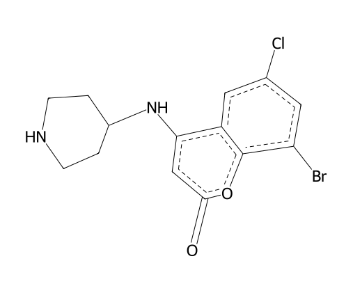 O=c1cc(NC2CCNCC2)c2cc(Cl)cc(Br)c2o1